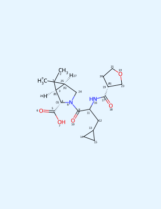 CC1(C)[C@@H]2[C@@H](C(=O)O)N(C(=O)C(CC3CC3)NC(=O)[C@@H]3CCOC3)C[C@@H]21